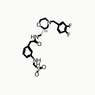 O=C(Cc1cccc(NC[SH](=O)=O)c1)NC[C@H]1CN(Cc2ccc(F)c(F)c2)CCO1